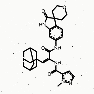 Cn1nccc1C(=O)NC(=CC12CC3CC(CC(C3)C1)C2)C(=O)Nc1ccc2c(c1)NC(=O)C21CCOCC1